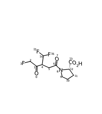 O=C(CF)C(CC(=O)N1CCC[C@H]1C(=O)O)C(F)F